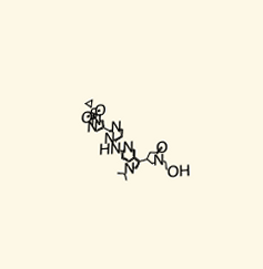 CC(C)n1cc(C2CC(=O)N(CCO)C2)c2cnc(Nc3ccnc(-c4cnn(S(=O)(=O)C5CC5)c4)n3)cc21